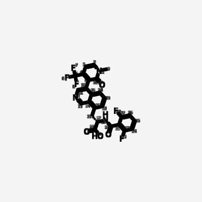 Cn1ccc(C(F)(F)F)c(-c2cncc3c(C[C@H](NC(=O)c4c(F)cccc4F)C(=O)O)cccc23)c1=O